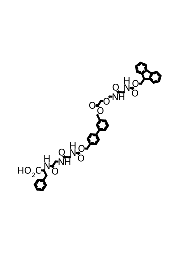 O=C(CNC(=O)OCc1ccc(-c2cccc(COC(=O)COCNC(=O)CNC(=O)OCC3c4ccccc4-c4ccccc43)c2)cc1)NCC(=O)NC(Cc1ccccc1)C(=O)O